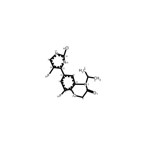 CC(C)N1C(=O)COc2c(F)cc(-c3nc(Cl)ncc3F)cc21